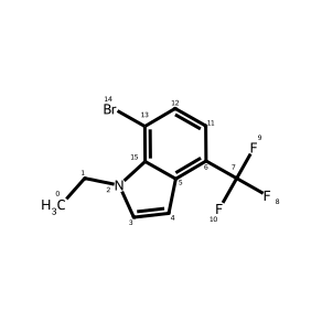 CCn1ccc2c(C(F)(F)F)ccc(Br)c21